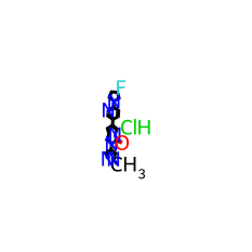 Cl.Cn1cc(N2Cc3cc(-c4ccc(N5CC[C@H](F)C5)nc4)cn3C2=O)cn1